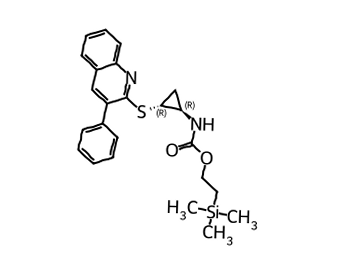 C[Si](C)(C)CCOC(=O)N[C@@H]1C[C@H]1Sc1nc2ccccc2cc1-c1ccccc1